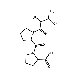 CC(O)C(N)C(=O)N1CCCC1C(=O)N1CCCC1C(N)=O